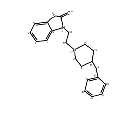 O=c1sc2ccccc2n1CCN1CCC(Cc2ccccc2)CC1